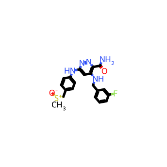 C[S+]([O-])Cc1ccc(Nc2cc(NCc3cccc(F)c3)c(C(N)=O)nn2)cc1